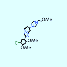 COCCN1CCN(c2ccn3cc(-c4cc(Cl)c(OC)cc4OC)nc3c2)CC1